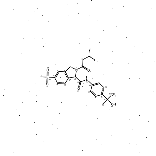 C[C@H](F)CC(=O)N1Cc2cc(S(C)(=O)=O)ccc2C1C(=O)Nc1ccc(C(C)(O)C(F)(F)F)cc1